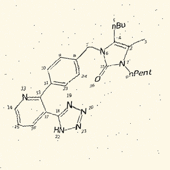 CCCCCn1c(C)c(CCCC)n(Cc2ccc(-c3ncccc3-c3nnn[nH]3)cc2)c1=O